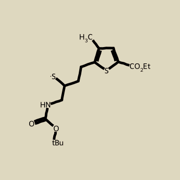 CCOC(=O)c1cc(C)c(CCC([S])CNC(=O)OC(C)(C)C)s1